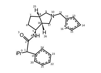 CC(C)C(C(=O)N[C@H]1CC[C@@H]2CN(Cc3cccs3)C[C@@H]21)c1ccccc1